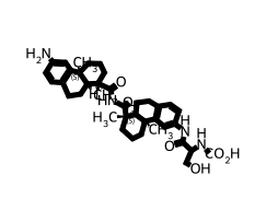 C[C@]1(C(=O)NC(=O)[C@@]2(C)CCC[C@]3(C)c4cc(NC(=O)C(CO)NC(=O)O)ccc4CC[C@@H]23)CCC[C@]2(C)c3cc(N)ccc3CC[C@@H]12